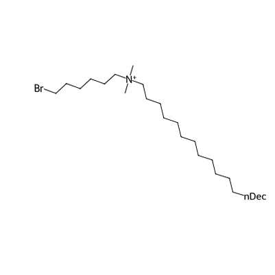 CCCCCCCCCCCCCCCCCCCCCC[N+](C)(C)CCCCCCBr